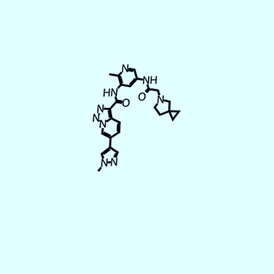 Cc1ncc(NC(=O)CN2CCC3(CC3)C2)cc1NC(=O)c1nnn2cc(-c3cnn(C)c3)ccc12